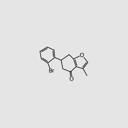 Cc1coc2c1C(=O)CC(c1ccccc1Br)C2